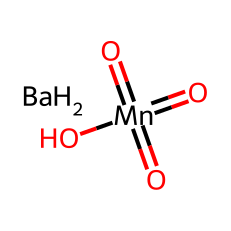 [BaH2].[O]=[Mn](=[O])(=[O])[OH]